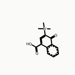 C[N+](C)(C)C1=C=C(C(=O)O)c2ccccc2C1=O